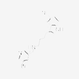 N#Cc1ccc2[nH]cc(CCCCNCc3cncc(Br)c3)c2c1